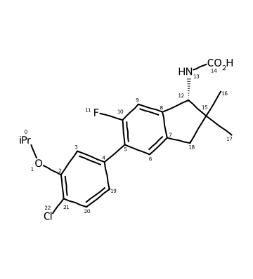 CC(C)Oc1cc(-c2cc3c(cc2F)[C@H](NC(=O)O)C(C)(C)C3)ccc1Cl